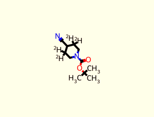 [2H]C1([2H])CN(C(=O)OC(C)(C)C)CC([2H])([2H])C1C#N